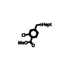 CCCCCCCCc1ccc(C(=O)OC)c(Cl)c1